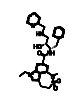 CCn1cc2c3c(cc(C(=O)N[C@@H](Cc4ccccc4)[C@H](O)CNCc4ccccn4)cc31)N(C)S(=O)(=O)CC2